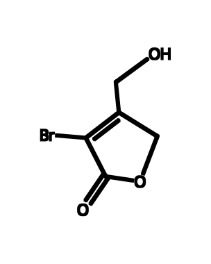 O=C1OCC(CO)=C1Br